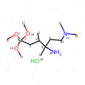 CO[Si](CC(C)C(C)(N)CCN(C)C)(OC)OC.Cl